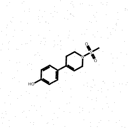 CS(=O)(=O)N1CC=C(c2ccc(O)cc2)CC1